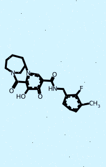 Cc1cccc(CNC(=O)c2cn3c(c(O)c2=O)C(=O)N2CCCCC3C2)c1F